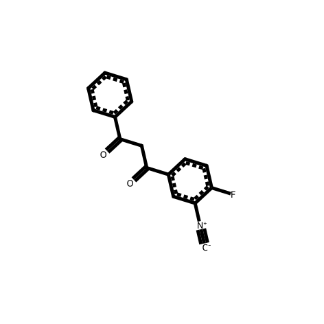 [C-]#[N+]c1cc(C(=O)CC(=O)c2ccccc2)ccc1F